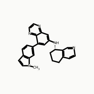 Cn1ccc2ccc(-c3cc(N[C@H]4CCCc5ccncc54)cc4nccnc34)cc21